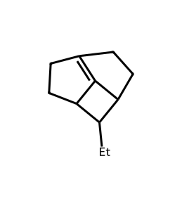 CCC1C2CCC3=C2C1CC3